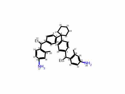 CCC(c1ccc(C2(c3ccc(C(CC)c4ccc(N)cc4C)cc3)CCCCC2)cc1)c1ccc(N)cc1C